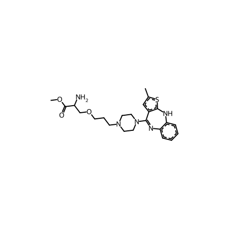 COC(=O)C(N)COCCCN1CCN(C2=Nc3ccccc3Nc3sc(C)cc32)CC1